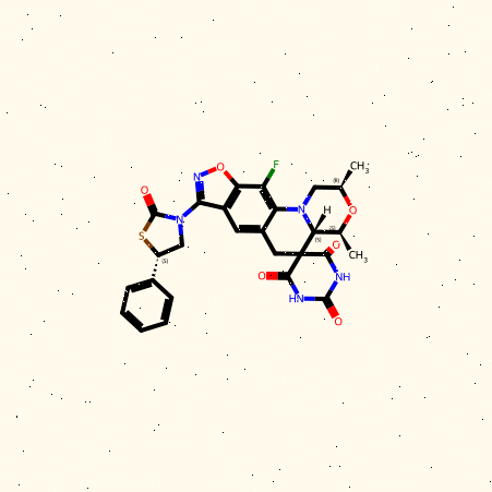 C[C@@H]1CN2c3c(cc4c(N5C[C@H](c6ccccc6)SC5=O)noc4c3F)CC3(C(=O)NC(=O)NC3=O)[C@H]2[C@H](C)O1